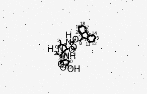 CC(C)[C@H](NC(=O)OCC1c2ccccc2-c2ccccc21)C(=O)C(N)(NC(C=O)CC(=O)O)C(C)C